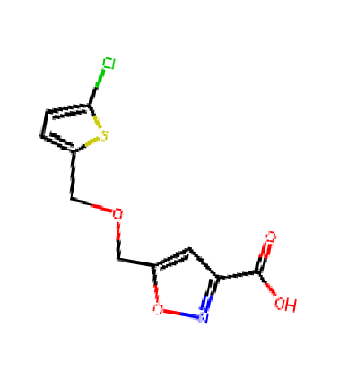 O=C(O)c1cc(COCc2ccc(Cl)s2)on1